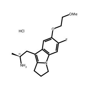 COCCOc1cc2c(C[C@H](C)N)c3n(c2cc1F)CCC3.Cl